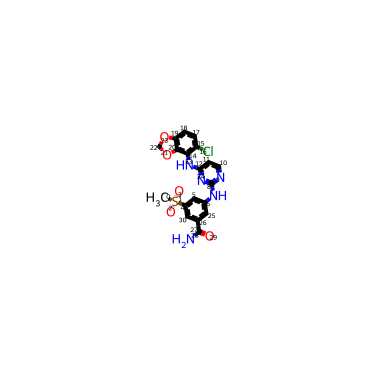 CS(=O)(=O)c1cc(Nc2nccc(Nc3c(Cl)ccc4c3OCO4)n2)cc(C(N)=O)c1